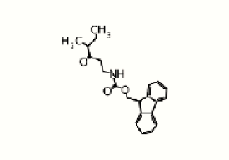 CCC(C)C(=O)CCNC(=O)OCC1c2ccccc2-c2ccccc21